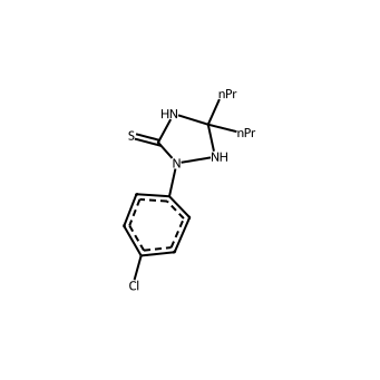 CCCC1(CCC)NC(=S)N(c2ccc(Cl)cc2)N1